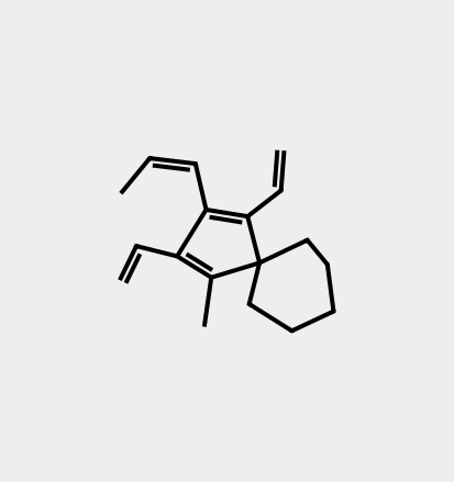 C=CC1=C(C)C2(CCCCC2)C(C=C)=C1/C=C\C